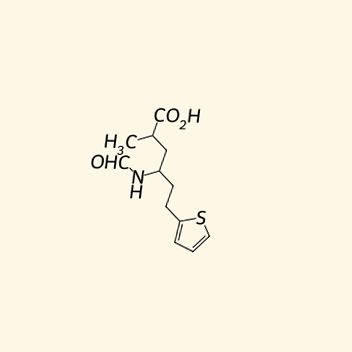 CC(CC(CCc1cccs1)NC=O)C(=O)O